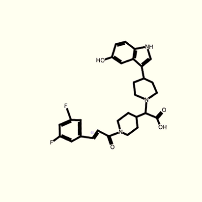 O=C(O)C(C1CCN(C(=O)/C=C/c2cc(F)cc(F)c2)CC1)N1CCC(c2c[nH]c3ccc(O)cc23)CC1